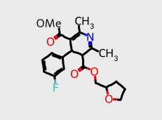 COC(=O)C1=C(C)N=C(C)C(C(=O)OCC2CCCO2)C1c1cccc(F)c1